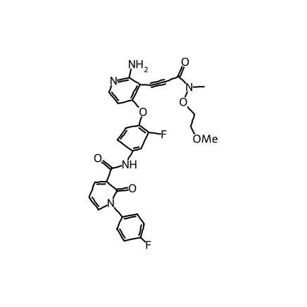 COCCON(C)C(=O)C#Cc1c(Oc2ccc(NC(=O)c3cccn(-c4ccc(F)cc4)c3=O)cc2F)ccnc1N